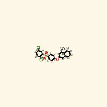 O=S(=O)(O)c1cc(Oc2ccc(S(=O)(=O)c3cc(Cl)ccc3Cl)cc2)cc2ccccc12